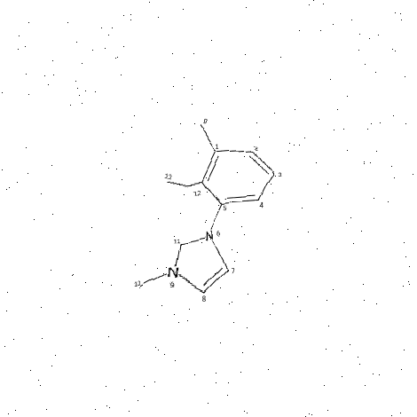 Cc1cccc(N2C=CN(C)C2)c1C